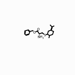 CC(C)=C1CCC(C)C(SC[C@H](N)C(=O)OCc2ccccc2)C1